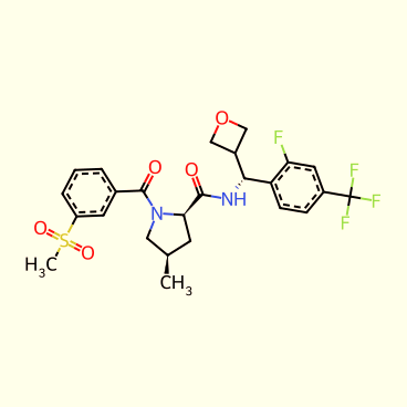 C[C@@H]1C[C@H](C(=O)N[C@@H](c2ccc(C(F)(F)F)cc2F)C2COC2)N(C(=O)c2cccc(S(C)(=O)=O)c2)C1